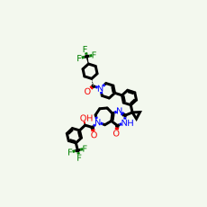 O=C([C@H](O)c1cccc(C(F)(F)F)c1)N1CCCc2nc(C3(c4cccc(C5=CCN(C(=O)[C@H]6CC[C@H](C(F)(F)F)CC6)CC5)c4)CC3)[nH]c(=O)c2C1